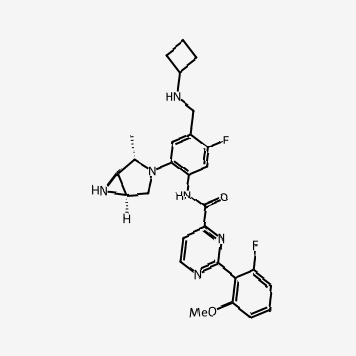 COc1cccc(F)c1-c1nccc(C(=O)Nc2cc(F)c(CNC3CCC3)cc2N2C[C@H]3NC3[C@@H]2C)n1